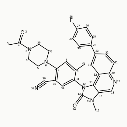 CC(=O)N1CCN(c2cc(C)c(-n3c(=O)n(C)c4cnc5ccc(-c6ccc(F)cc6)cc5c43)cc2C#N)CC1